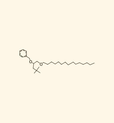 CCCCCCCCCCCCCCCOCC(CC(C)(C)C)OCc1ccccc1